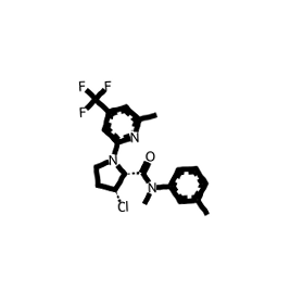 Cc1cccc(N(C)C(=O)[C@@H]2[C@H](Cl)CCN2c2cc(C(F)(F)F)cc(C)n2)c1